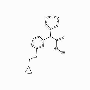 O=C(NO)C(c1ccccc1)c1cccc(OCC2CC2)c1